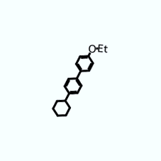 CCOc1ccc(-c2ccc(C3CCCCC3)cc2)cc1